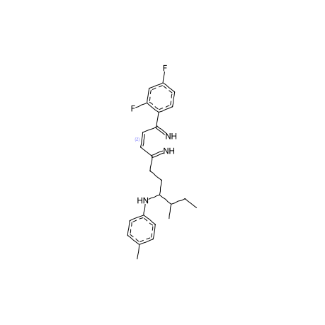 CCC(C)C(CCC(=N)/C=C\C(=N)c1ccc(F)cc1F)Nc1ccc(C)cc1